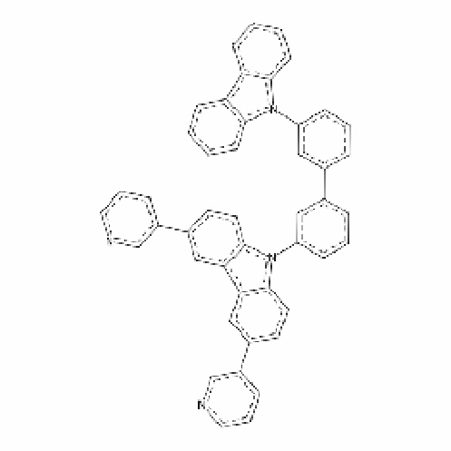 c1cncc(-c2ccc3c(c2)c2cc(-c4cccnc4)ccc2n3-c2cccc(-c3cccc(-n4c5ccccc5c5ccccc54)c3)c2)c1